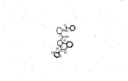 O=C(N[C@@H]1CCCC[C@@H]1C(O)N1CC[C@@H]2[C@H](c3ncc[nH]3)Nc3ccccc3[C@@H]21)c1ccccc1